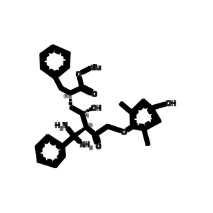 Cc1cc(O)cc(C)c1OCC(=O)[C@H]([C@@H](O)C[C@H](Cc1ccccc1)C(=O)OC(C)(C)C)C(N)(N)c1ccccc1